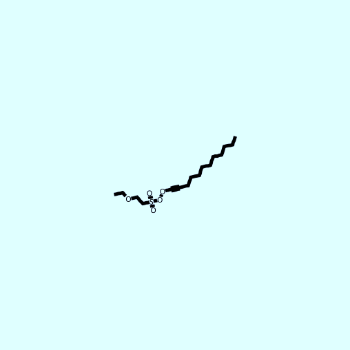 CCCCCCCCCCC#COOS(=O)(=O)CCOCC